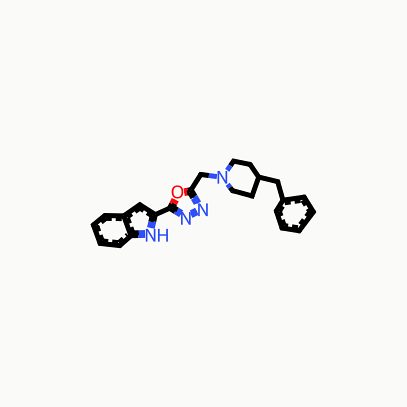 c1ccc(CC2CCN(Cc3nnc(-c4cc5ccccc5[nH]4)o3)CC2)cc1